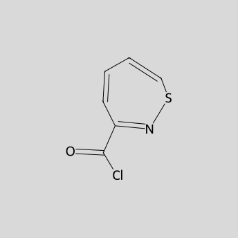 O=C(Cl)C1=NSC=CC=C1